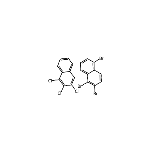 Brc1ccc2c(Br)cccc2c1Br.Clc1cc2ccccc2c(Cl)c1Cl